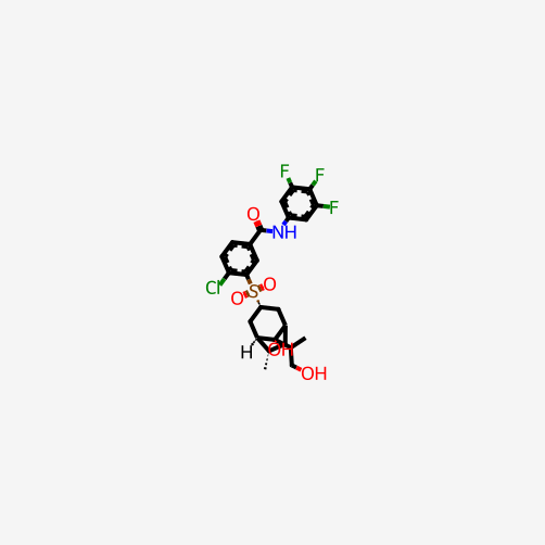 CC(CO)[C@@]1(O)C2C[C@@H](S(=O)(=O)c3cc(C(=O)Nc4cc(F)c(F)c(F)c4)ccc3Cl)C[C@@H]1[C@@H](C)C2